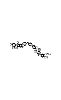 CC[C@@H]1CN(c2ccc(C#N)c(OC)c2)[C@@H](C)CN1C(=O)Nc1ccc(N2CCC(CN3CCN(c4cc5c(cc4F)C(=O)N(C4CCC(=O)NC4=O)C5=O)CC3)CC2)nc1